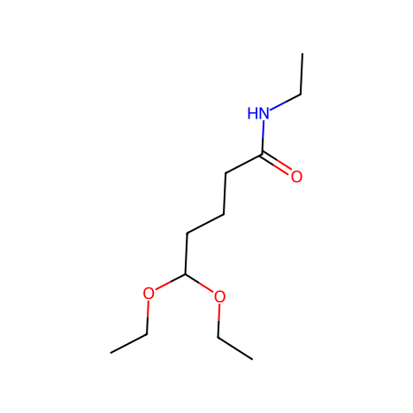 CCNC(=O)CCCC(OCC)OCC